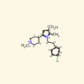 Cc1c(C(=O)O)cc(C2CCN(C)CC2)n1CCc1ccc(F)cc1